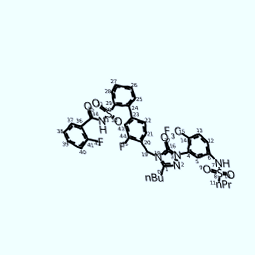 CCCCc1nn(-c2cc(NS(=O)(=O)CCC)ccc2C(F)(F)F)c(=O)n1Cc1ccc(-c2ccccc2S(=O)(=O)NC(=O)c2ccccc2F)cc1F